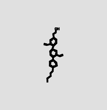 C=Cc1cc(CCO)ccc1-c1ccc(-c2ccc(CCCCC)cc2)c(C=C)c1